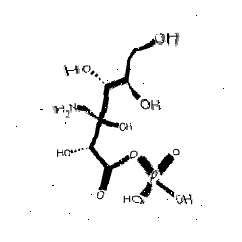 N[C@](O)([C@H](O)[C@H](O)CO)[C@@H](O)C(=O)OP(=O)(O)O